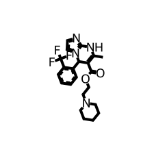 CC1=C(C(=O)OCCN2CCCCC2)C(c2ccccc2C(F)(F)F)n2ccnc2N1